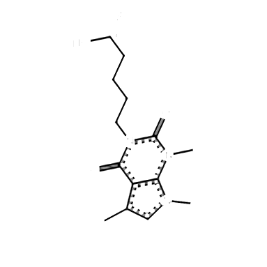 Cc1cn(C)c2c1c(=O)n(CCCC[C@@H](C)O)c(=O)n2C